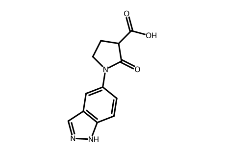 O=C(O)C1CCN(c2ccc3[nH]ncc3c2)C1=O